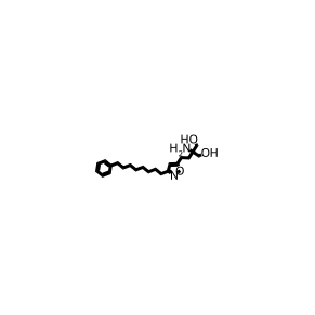 NC(CO)(CO)CCc1cc(CCCCCCCCc2ccccc2)no1